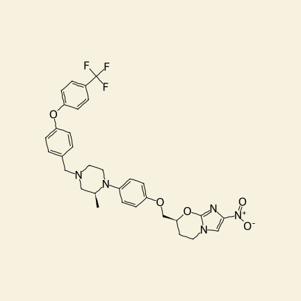 C[C@H]1CN(Cc2ccc(Oc3ccc(C(F)(F)F)cc3)cc2)CCN1c1ccc(OC[C@@H]2CCn3cc([N+](=O)[O-])nc3O2)cc1